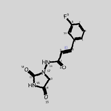 O=C(/C=C/c1cccc(F)c1)NN1CC(=O)NC1=O